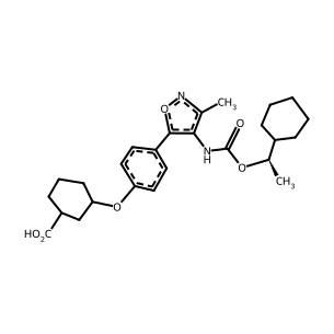 Cc1noc(-c2ccc(OC3CCCC(C(=O)O)C3)cc2)c1NC(=O)O[C@H](C)C1CCCCC1